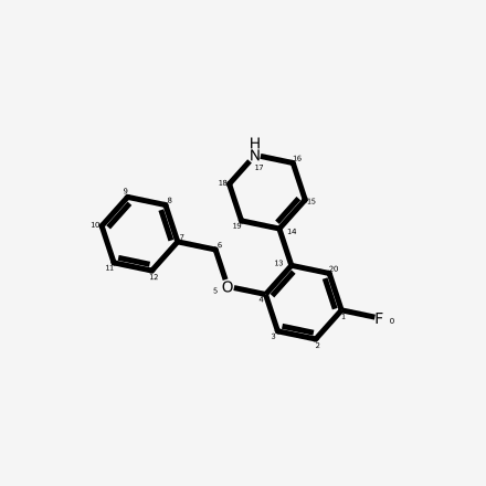 Fc1ccc(OCc2ccccc2)c(C2=CCNCC2)c1